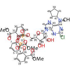 COC(=O)c1ccccc1OP(=O)(CP(=O)(Oc1ccccc1C(=O)OC)Oc1ccccc1C(=O)OC)OC[C@H]1O[C@@H](n2cnc3c(N(C)C4CCCC4)nc(Cl)nc32)[C@H](O)[C@@H]1O